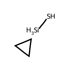 C1CC1.[SiH3]S